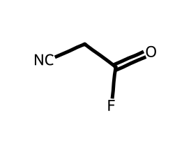 N#CCC(=O)F